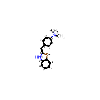 CN(C)c1ccc(C=C2Nc3ccccc3S2)cc1